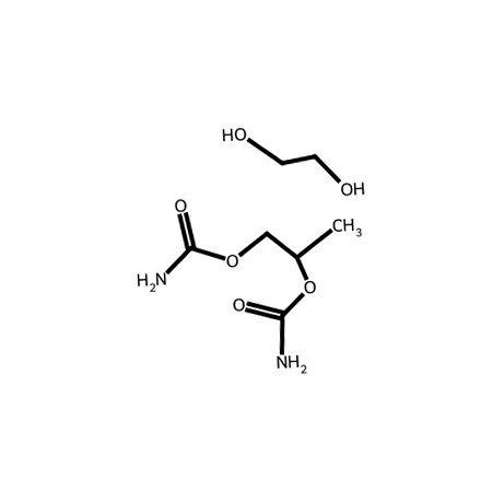 CC(COC(N)=O)OC(N)=O.OCCO